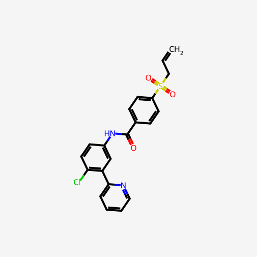 C=CCS(=O)(=O)c1ccc(C(=O)Nc2ccc(Cl)c(-c3ccccn3)c2)cc1